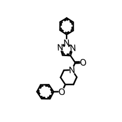 O=C(c1cnn(-c2ccccc2)n1)N1CCC(Oc2ccccc2)CC1